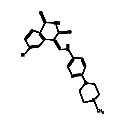 CN1CCN(c2ccc(NC=C3C(=O)NC(=O)c4ccc(Br)cc43)cn2)CC1